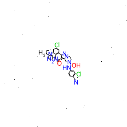 CN(C)c1cc(Cl)cc(-c2nn3c(c2C(N)=O)CN(C(O)Nc2ccc(C#N)c(Cl)c2)CC3)c1